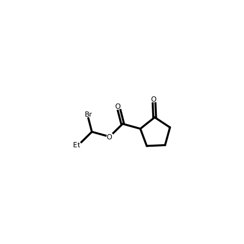 CCC(Br)OC(=O)C1CCCC1=O